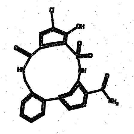 NC(=O)c1ccc2cc1NS(=O)(=O)c1cc(cc(Cl)c1O)C(=O)NCc1ccccc1-2